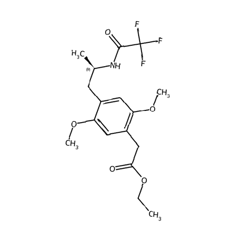 CCOC(=O)Cc1cc(OC)c(C[C@@H](C)NC(=O)C(F)(F)F)cc1OC